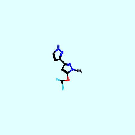 Cn1nc(-c2cc[nH]n2)cc1OC(F)F